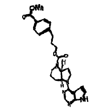 COC(=O)c1ccc(CCCOC(=O)N2CCC[C@@H]3[C@H]2CCN3c2ncnc3[nH]ccc23)cc1